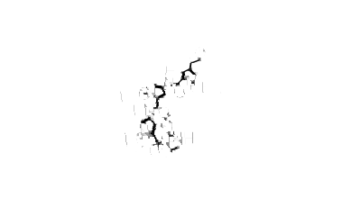 Cn1cc(CC=O)cc1C(=O)Nc1cc(C(=O)Nc2cc(C(=O)N3CCNC3=O)n(C)c2)n(C)c1